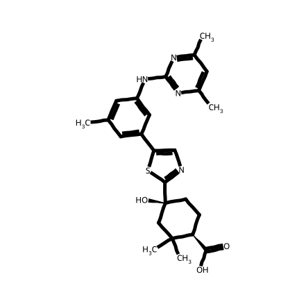 Cc1cc(Nc2nc(C)cc(C)n2)cc(-c2cnc([C@]3(O)CC[C@@H](C(=O)O)C(C)(C)C3)s2)c1